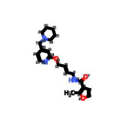 Cc1occc1C(=O)NCC=CCOc1cc(CN2CCCCC2)ccn1